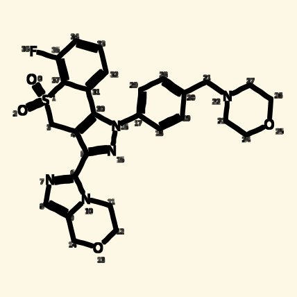 O=S1(=O)Cc2c(-c3ncc4n3CCOC4)nn(-c3ccc(CN4CCOCC4)cc3)c2-c2cccc(F)c21